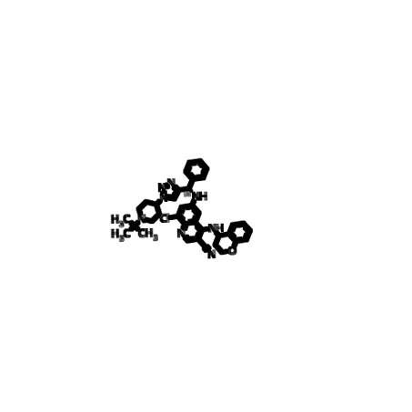 CC(C)(C)N1CCC(n2cc([C@@H](Nc3cc(Cl)c4ncc(C#N)c(NC5CCOc6ccccc65)c4c3)c3ccccc3)nn2)CC1